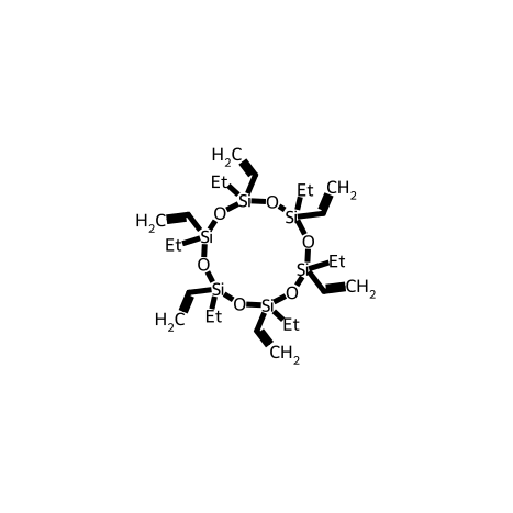 C=C[Si]1(CC)O[Si](C=C)(CC)O[Si](C=C)(CC)O[Si](C=C)(CC)O[Si](C=C)(CC)O[Si](C=C)(CC)O1